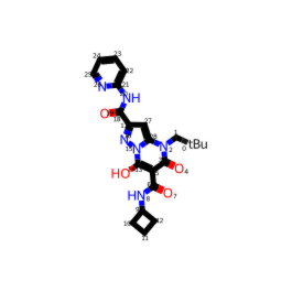 CC(C)(C)Cn1c(=O)c(C(=O)NC2CCC2)c(O)n2nc(C(=O)Nc3ccccn3)cc12